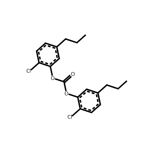 CCCc1ccc(Cl)c(OC(=O)Oc2cc(CCC)ccc2Cl)c1